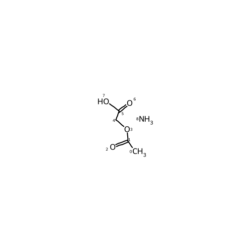 CC(=O)OCC(=O)O.N